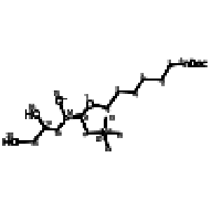 CCCCCCCCCCCCCCCCO/C(C[N+](C)(C)C)=[P+](\[O-])CC(O)CO